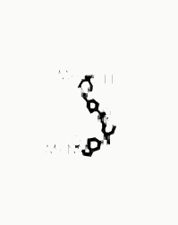 CNC(=O)n1ccc2cc(N(C)c3ccnc(NC(=O)c4ccc(CN5CCC(CO)(OC)CC5)cc4)c3)ccc21